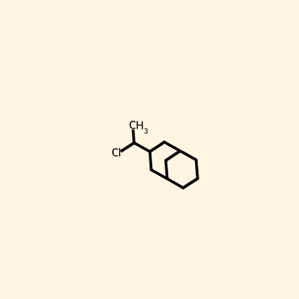 CC(Cl)C1CC2CCCC(C2)C1